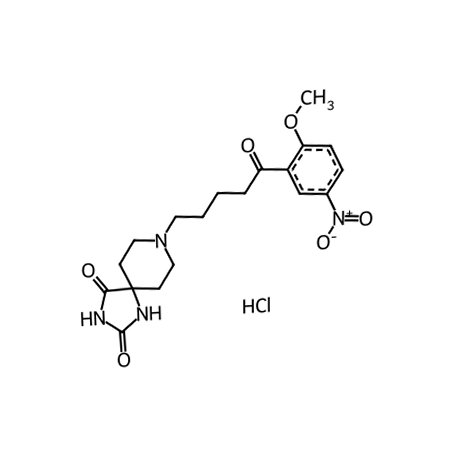 COc1ccc([N+](=O)[O-])cc1C(=O)CCCCN1CCC2(CC1)NC(=O)NC2=O.Cl